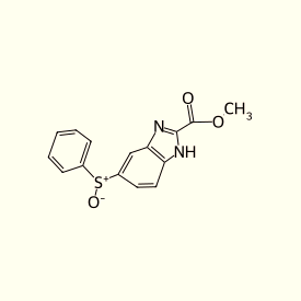 COC(=O)c1nc2cc([S+]([O-])c3ccccc3)ccc2[nH]1